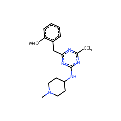 COc1ccccc1Cc1nc(NC2CCN(C)CC2)nc(C(Cl)(Cl)Cl)n1